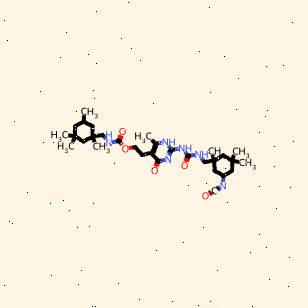 Cc1[nH]c(NC(=O)NCC2(C)CC(N=C=O)CC(C)(C)C2)nc(=O)c1CCOC(=O)NCC1(C)CC(C)CC(C)(C)C1